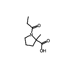 CCC(=O)N1CCCC1(C)C(=O)O